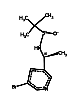 C[C@H](N[S+]([O-])C(C)(C)C)c1cncc(Br)c1